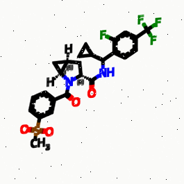 CS(=O)(=O)c1cccc(C(=O)N2[C@@H](C(=O)NC(c3ccc(C(F)(F)F)cc3F)C3CC3)C[C@@H]3C[C@@H]32)c1